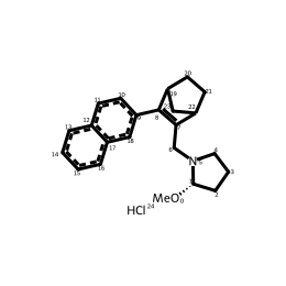 CO[C@H]1CCCN1CC1=C(c2ccc3ccccc3c2)C2CCC1C2.Cl